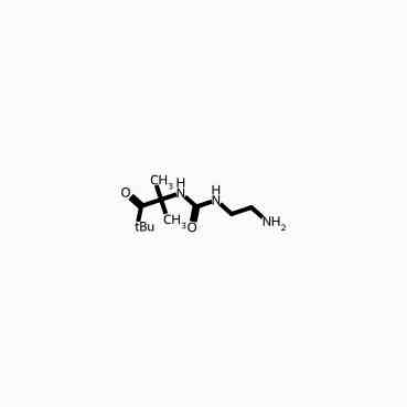 CC(C)(C)C(=O)C(C)(C)NC(=O)NCCN